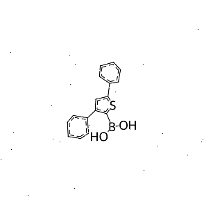 OB(O)c1sc(-c2ccccc2)cc1-c1ccccc1